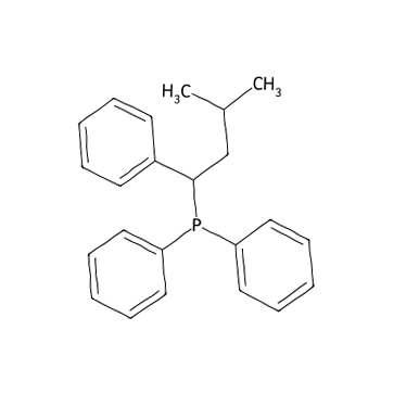 CC(C)CC(c1ccccc1)P(c1ccccc1)c1ccccc1